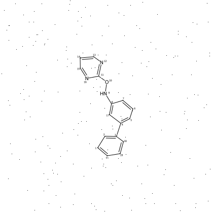 c1ccc(-c2cccc(NOc3ncccn3)c2)cc1